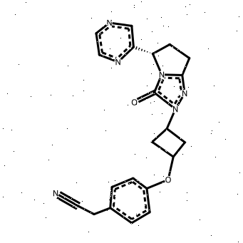 N#CCc1ccc(OC2CC(n3nc4n(c3=O)[C@H](c3cnccn3)CC4)C2)cc1